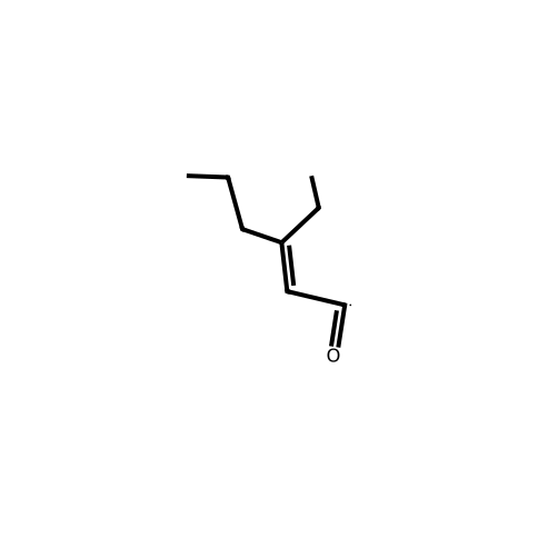 CCC/C(=C/[C]=O)CC